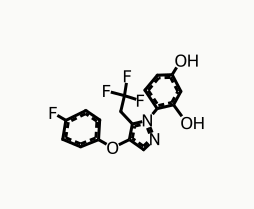 Oc1ccc(-n2ncc(Oc3ccc(F)cc3)c2CC(F)(F)F)c(O)c1